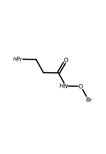 CCCCCC(=O)NOBr